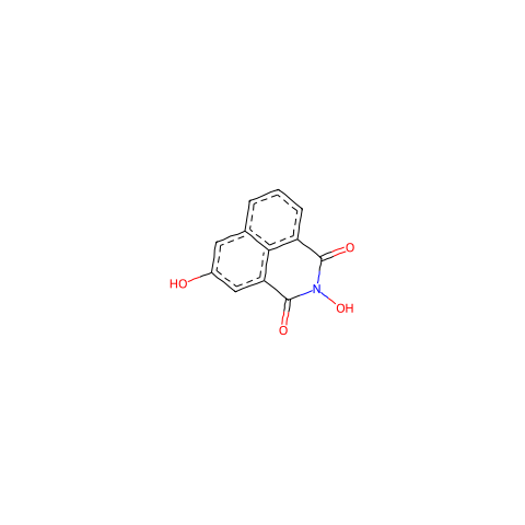 O=C1c2cccc3cc(O)cc(c23)C(=O)N1O